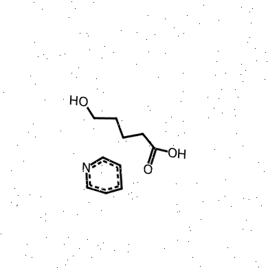 O=C(O)CCCCO.c1ccncc1